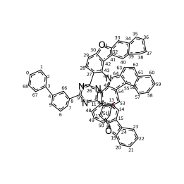 c1ccc(-c2cccc(-c3nc(-c4ccc5c(c4)oc4ccccc45)nc(-c4ccc5oc6cc7ccccc7cc6c5c4-n4c5cc6ccccc6cc5c5c6ccccc6ccc54)n3)c2)cc1